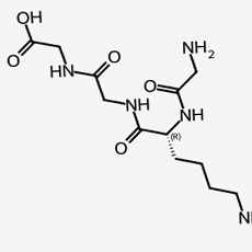 NCCCC[C@@H](NC(=O)CN)C(=O)NCC(=O)NCC(=O)O